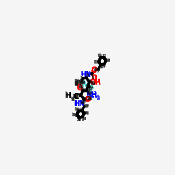 CC(C)CC(NC(=O)OCc1ccccc1)C(O)C(F)(F)C(N)C(=O)C(C)C(=O)NCc1ccccc1